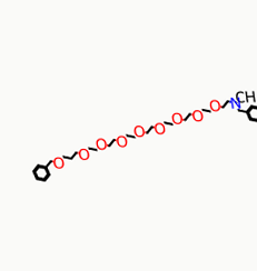 CN(CCOCCOCCOCCOCCOCCOCCOCCOCCCOCc1ccccc1)Cc1ccccc1